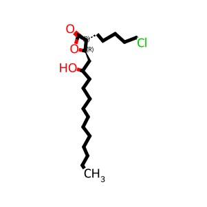 CCCCCCCCCCCC(O)C[C@H]1OC(=O)[C@@H]1CCCCCCl